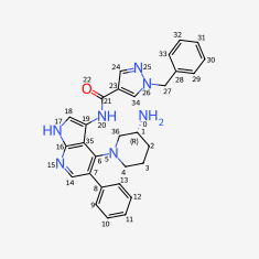 N[C@@H]1CCCN(c2c(-c3ccccc3)cnc3[nH]cc(NC(=O)c4cnn(Cc5ccccc5)c4)c23)C1